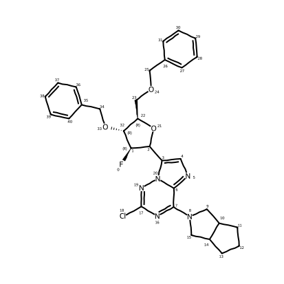 F[C@@H]1C(c2cnc3c(N4CC5CCCC5C4)nc(Cl)nn23)O[C@H](COCc2ccccc2)[C@H]1OCc1ccccc1